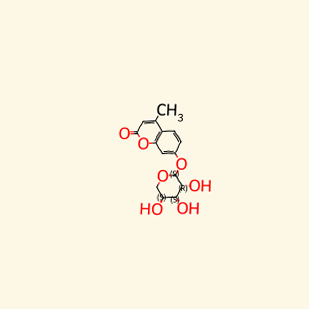 Cc1cc(=O)oc2cc(O[C@@H]3OC[C@H](O)[C@H](O)[C@H]3O)ccc12